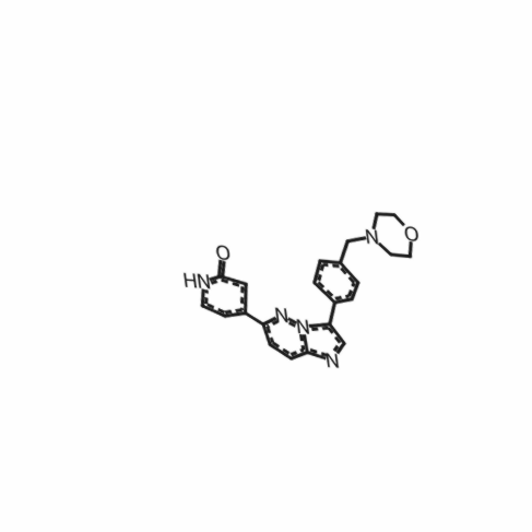 O=c1cc(-c2ccc3ncc(-c4ccc(CN5CCOCC5)cc4)n3n2)cc[nH]1